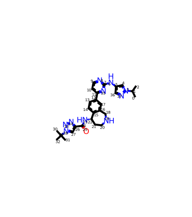 CC(C)n1cc(Nc2nccc(-c3ccc4c(c3)CNCC[C@H]4NC(=O)c3cn(C(C)(C)C)nn3)n2)cn1